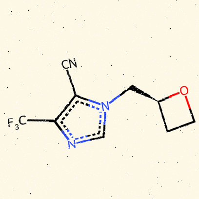 N#Cc1c(C(F)(F)F)ncn1C[C@@H]1CCO1